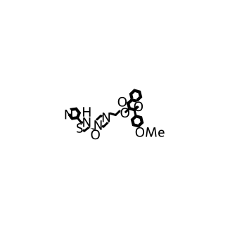 COc1ccc(-c2oc3ccccc3c(=O)c2OCCCN2CCN(C(=O)[C@@H]3CSC(c4cccnc4)N3)CC2)cc1